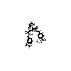 Cn1c(=O)oc2ccc(CNC(=O)c3cc(C(=O)NCC4CCC(C(N)=O)CC4)n4nccc4n3)cc21